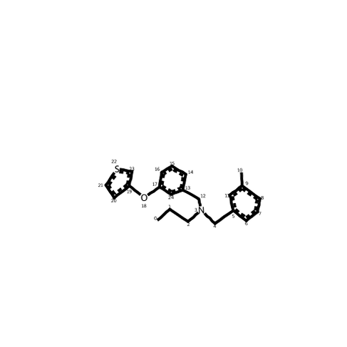 CCCN(Cc1cccc(C)c1)Cc1cccc(Oc2ccsc2)c1